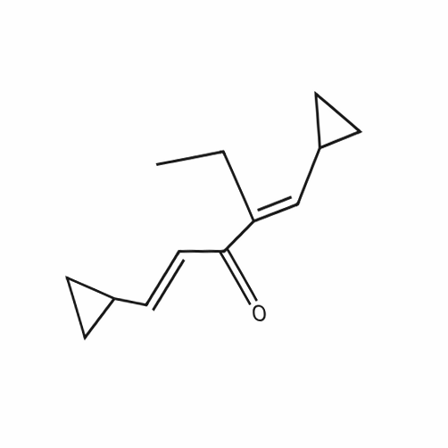 CC/C(=C\C1CC1)C(=O)/C=C/C1CC1